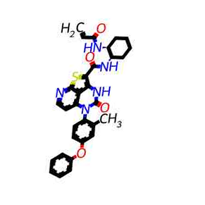 C=CC(=O)N[C@@H]1CCCC[C@@H]1NC(=O)c1sc2nccc3c2c1NC(=O)N3c1ccc(Oc2ccccc2)cc1C